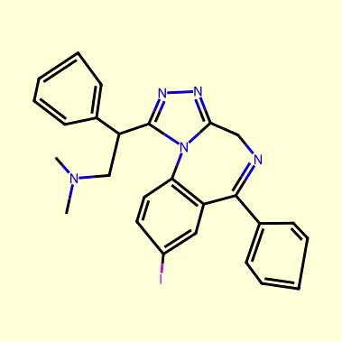 CN(C)CC(c1ccccc1)c1nnc2n1-c1ccc(I)cc1C(c1ccccc1)=NC2